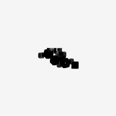 NC1=NC2(CO1)c1cc(-c3cncc(Cl)c3)ccc1OC1CC[C@H](OC3CCC3)C[C@@H]12